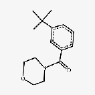 CC(C)(C)c1cccc(C(=O)N2CCOCC2)c1